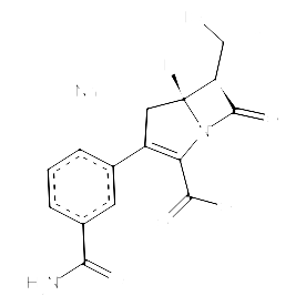 C[C@@H](O)[C@H]1C(=O)N2C(C(=O)[O-])=C(c3cccc(C(N)=O)c3)C[C@H]12.[Na+]